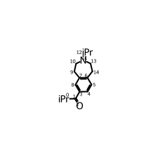 CC(C)C(=O)c1ccc2c(c1)CCN(C(C)C)CC2